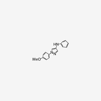 COc1ccc(-n2cc(Nc3ccccc3)cn2)cc1